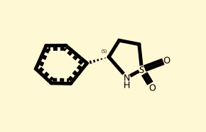 O=S1(=O)CC[C@@H](c2ccccc2)N1